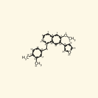 COc1cc2ccnc(Cc3ccc(C)c(C)c3)c2cc1-c1ccoc1